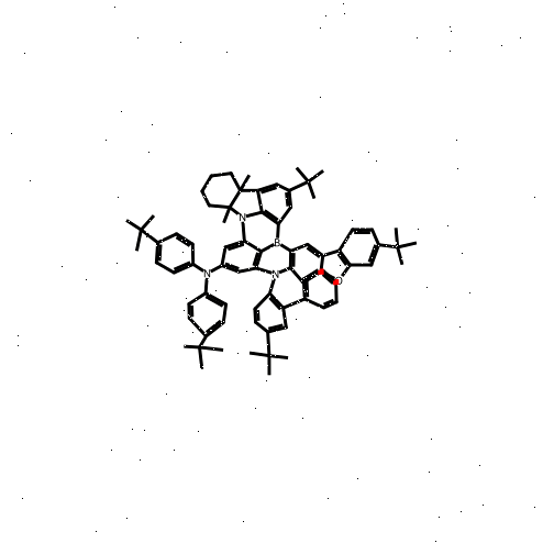 CC(C)(C)c1ccc(N(c2ccc(C(C)(C)C)cc2)c2cc3c4c(c2)N2c5c(cc(C(C)(C)C)cc5C5(C)CCCCC25C)B4c2cc4c(cc2N3c2ccc(C(C)(C)C)cc2-c2ccccc2)oc2cc(C(C)(C)C)ccc24)cc1